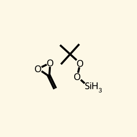 C=C1OO1.CC(C)(C)OO[SiH3]